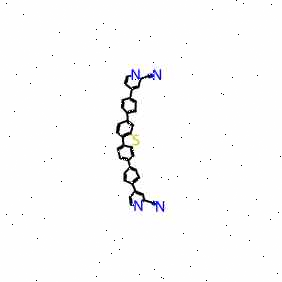 N#Cc1cc(-c2ccc(-c3ccc4c(c3)sc3cc(-c5ccc(-c6ccnc(C#N)c6)cc5)ccc34)cc2)ccn1